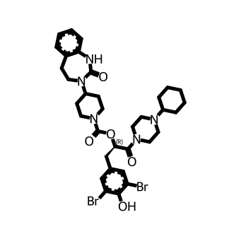 O=C(O[C@H](Cc1cc(Br)c(O)c(Br)c1)C(=O)N1CCN(C2CCCCC2)CC1)N1CCC(N2CCc3ccccc3NC2=O)CC1